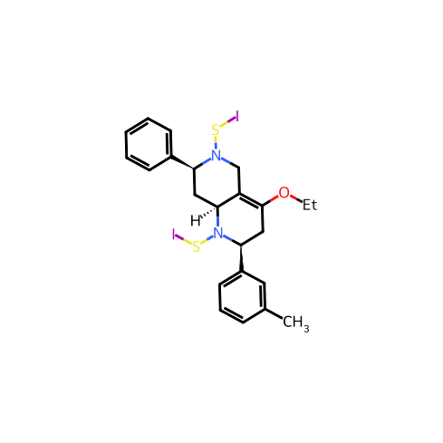 CCOC1=C2CN(SI)[C@H](c3ccccc3)C[C@@H]2N(SI)[C@H](c2cccc(C)c2)C1